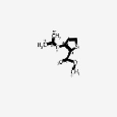 COC(=O)c1sccc1OC(C)C